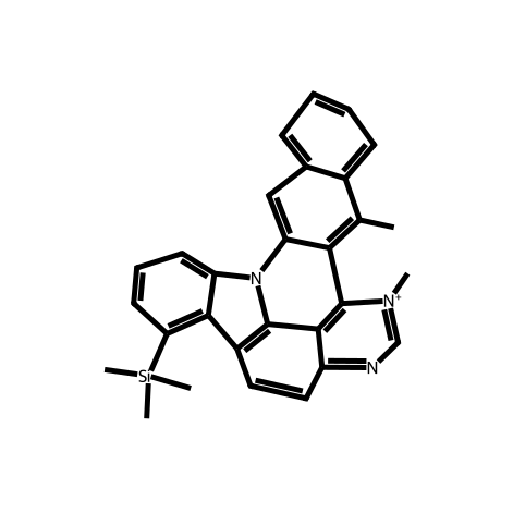 Cc1c2ccccc2cc2c1c1c3c(ccc4c5c([Si](C)(C)C)cccc5n2c43)nc[n+]1C